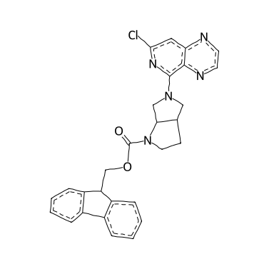 O=C(OCC1c2ccccc2-c2ccccc21)N1CCC2CN(c3nc(Cl)cc4nccnc34)CC21